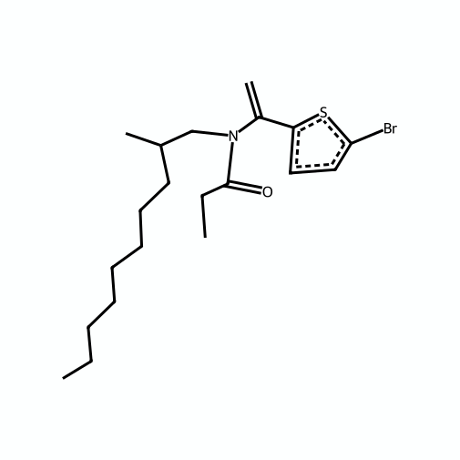 C=C(c1ccc(Br)s1)N(CC(C)CCCCCCCC)C(=O)CC